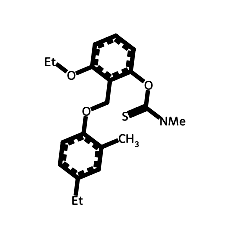 CCOc1cccc(OC(=S)NC)c1COc1ccc(CC)cc1C